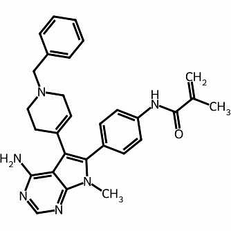 C=C(C)C(=O)Nc1ccc(-c2c(C3=CCN(Cc4ccccc4)CC3)c3c(N)ncnc3n2C)cc1